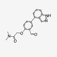 CN(C)C(=O)COc1ccc(-c2cccc3[nH]ncc23)cc1C=O